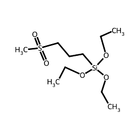 CCO[Si](CCCS(C)(=O)=O)(OCC)OCC